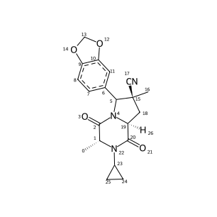 C[C@@H]1C(=O)N2C(c3ccc4c(c3)OCO4)[C@@](C)(C#N)C[C@H]2C(=O)N1C1CC1